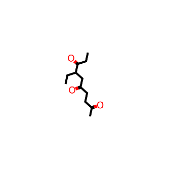 CCC(=O)C(CC)CC(=O)CCC(C)=O